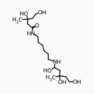 CC(O)(CCO)CC(=O)NCCCCCCNC(O)CC(C)(O)CCO